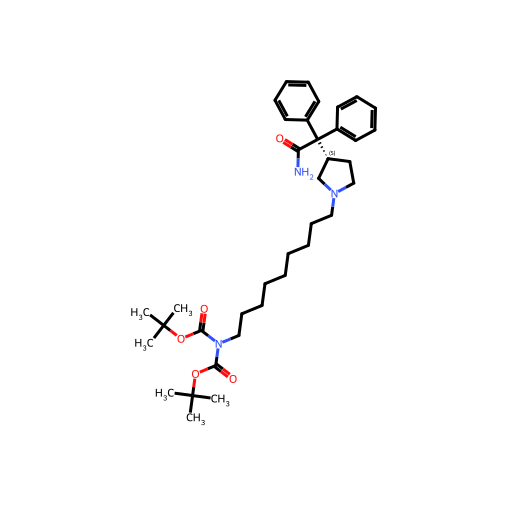 CC(C)(C)OC(=O)N(CCCCCCCCCN1CC[C@@H](C(C(N)=O)(c2ccccc2)c2ccccc2)C1)C(=O)OC(C)(C)C